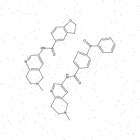 CN1CCc2ncc(NC(=O)c3ccc(C(=O)c4ccccc4)cc3)cc2C1.CN1CCc2ncc(NC(=O)c3ccc4c(c3)CCO4)cc2C1